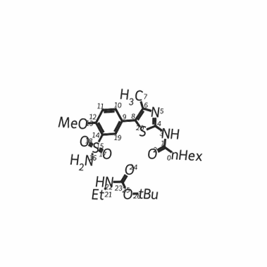 CCCCCCC(=O)Nc1nc(C)c(-c2ccc(OC)c(S(N)(=O)=O)c2)s1.CCNC(=O)OC(C)(C)C